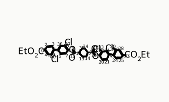 CCOC(=O)c1ccc(-c2ccc(OC(=O)[C@H]3CC[C@H](C(=O)Oc4ccc(-c5ccc(C(=O)OCC)cc5Cl)cc4Cl)CC3)c(Cl)c2)c(Cl)c1